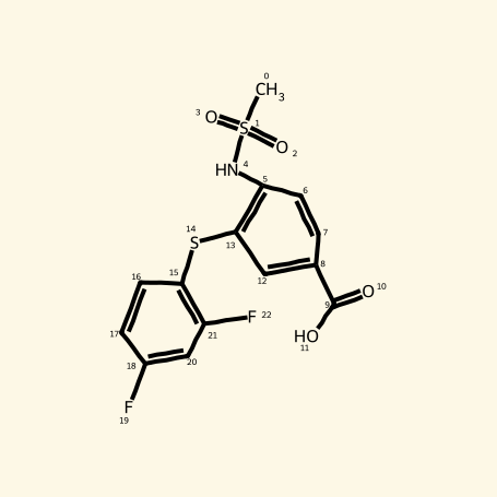 CS(=O)(=O)Nc1ccc(C(=O)O)cc1Sc1ccc(F)cc1F